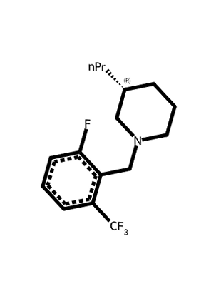 CCC[C@@H]1CCCN(Cc2c(F)cccc2C(F)(F)F)C1